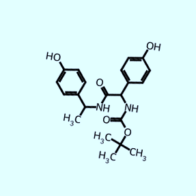 CC(NC(=O)C(NC(=O)OC(C)(C)C)c1ccc(O)cc1)c1ccc(O)cc1